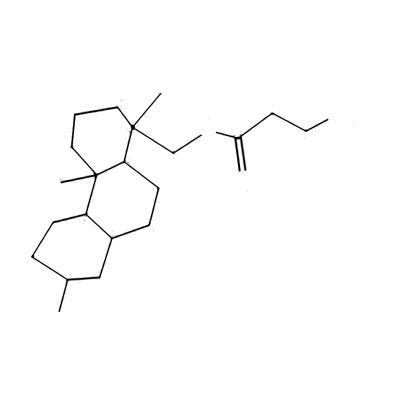 CC(C)C1CCC2C(CCC3C(C)(COC(=O)CCC(=O)O)CCCC23C)C1